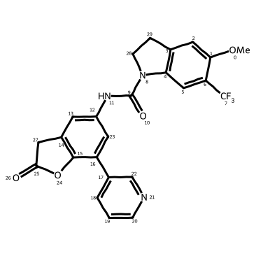 COc1cc2c(cc1C(F)(F)F)N(C(=O)Nc1cc3c(c(-c4cccnc4)c1)OC(=O)C3)CC2